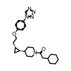 O=C(CC1CCCCC1)N1CCC([C@H]2C[C@H]2CCOc2ccc(-n3cnnn3)cc2)CC1